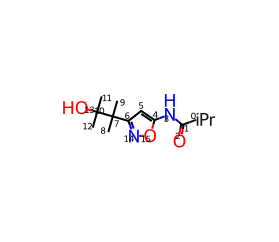 CC(C)C(=O)Nc1cc(C(C)(C)C(C)(C)O)no1